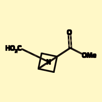 COC(=O)C12CC(C1)N(C(=O)O)C2